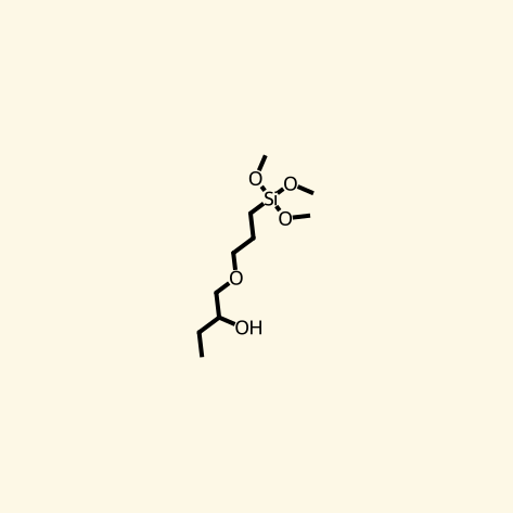 CCC(O)COCCC[Si](OC)(OC)OC